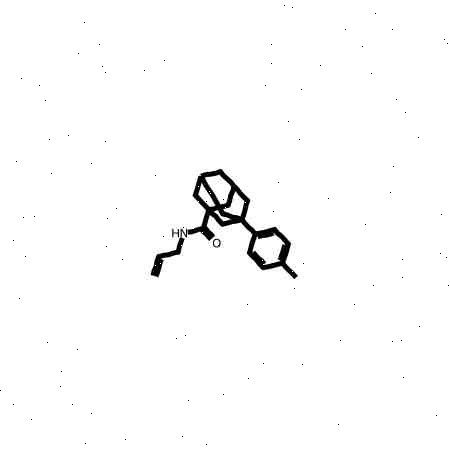 C=CCNC(=O)C12CC3CC(C1)CC(c1ccc(C)cc1)(C3)C2